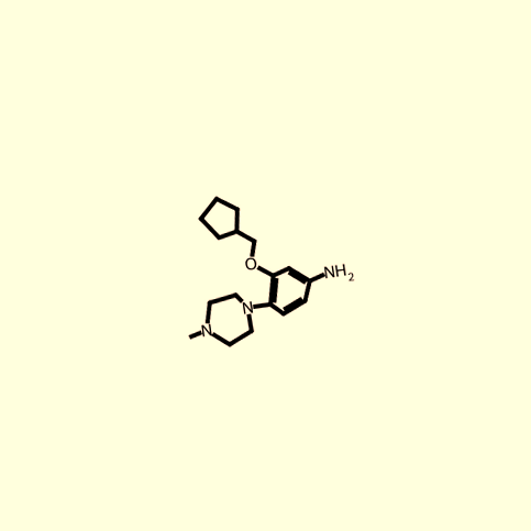 CN1CCN(c2ccc(N)cc2OCC2CCCC2)CC1